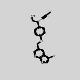 CC#C[C@@H](CC#N)c1ccc(OCc2cnc3scc(Br)c3c2)cc1